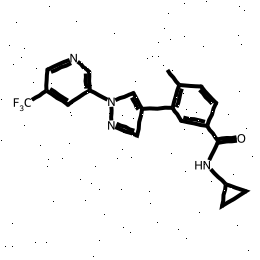 Cc1ccc(C(=O)NC2CC2)cc1-c1cnn(-c2cncc(C(F)(F)F)c2)c1